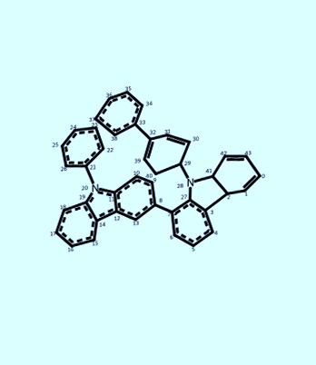 C1=CC2c3cccc(-c4ccc5c(c4)c4ccccc4n5-c4ccccc4)c3N(C3C=CC(c4ccccc4)=CC3)C2C=C1